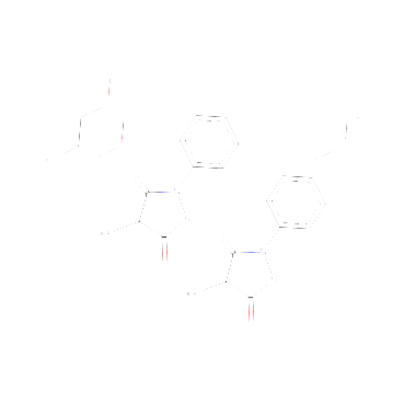 CCCCC1C(=O)NN(c2ccccc2)C1=O.CCCCC1C(=O)NN(c2ccccc2)C1=O.CCCCOCCCC.CCOCC.CCOCCO